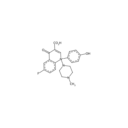 CN1CCN([N+]2(c3ccc(O)cc3)C=C(C(=O)O)C(=O)c3cc(F)ccc32)CC1